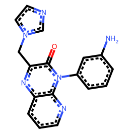 Nc1cccc(-n2c(=O)c(Cn3ccnc3)nc3cccnc32)c1